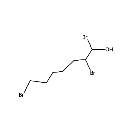 OC(Br)C(Br)CCCCCBr